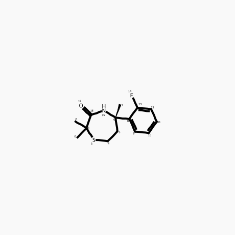 CC1(C)SCC[C@@](C)(c2ccccc2F)NC1=O